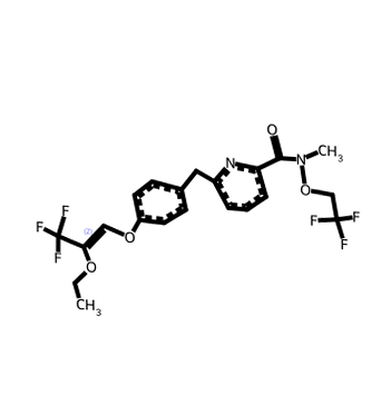 CCO/C(=C\Oc1ccc(Cc2cccc(C(=O)N(C)OCC(F)(F)F)n2)cc1)C(F)(F)F